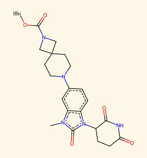 Cn1c(=O)n(C2CCC(=O)NC2=O)c2ccc(N3CCC4(CC3)CN(C(=O)OC(C)(C)C)C4)cc21